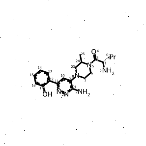 CC(C)[C@H](N)C(=O)N1CCN(c2cc(-c3ccccc3O)nnc2N)CC1C